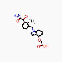 Cc1c(Cn2ccc3c(OCC(=O)O)cccc32)cccc1C(=O)C(N)=O